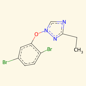 CCc1ncn(Oc2cc(Br)ccc2Br)n1